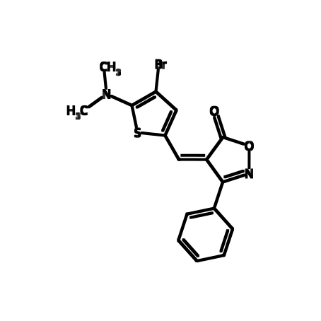 CN(C)c1sc(C=C2C(=O)ON=C2c2ccccc2)cc1Br